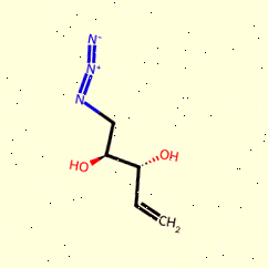 C=C[C@@H](O)[C@@H](O)CN=[N+]=[N-]